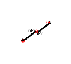 CCCC(CCCCCCCCCCCCCC1CC(C)O1)OC(CCC)CCCCCCCCCCCCCC1CC(C)O1